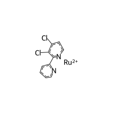 Clc1ccnc(-c2ccccn2)c1Cl.[Ru+2]